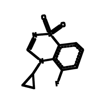 O=S1(=O)N=CN(C2CC2)c2c(F)cccc21